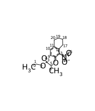 CCOC(=O)C(C)Oc1ccc2c(c1[N+](=O)[O-])CCCC2